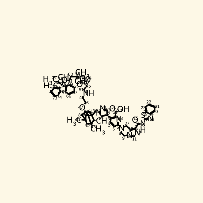 Cc1c(-c2ccc(N3CCn4cnc(C(=O)Nc5nc6ccccc6s5)c4C3)nc2C(=O)O)cnn1CC12CC3(C)CC(C)(C1)CC(OCCNCCS(=O)(=O)OC(C)(C)CCO[Si](c1ccccc1)(c1ccccc1)C(C)(C)C)(C3)C2